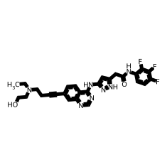 CCN(CCO)CCC#Cc1ccc2c(Nc3cc(CC(=O)Nc4ccc(F)c(F)c4F)[nH]n3)ncnc2c1